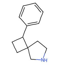 c1ccc(C2CCC23CCNC3)cc1